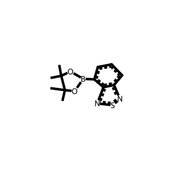 CC1(C)OB(c2cccc3nsnc23)OC1(C)C